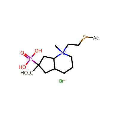 CC(=O)SCC[N+]1(C)CCCC2CC(C(=O)O)(P(=O)(O)O)CC21.[Br-]